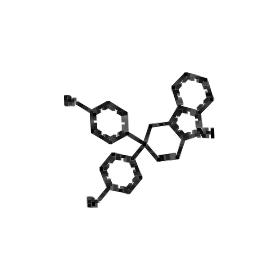 Brc1ccc(C2(c3ccc(Br)cc3)C=Cc3[nH]c4ccccc4c3C2)cc1